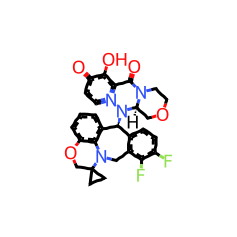 O=C1c2c(O)c(=O)ccn2N([C@H]2c3ccc(F)c(F)c3CN3c4c(cccc42)OCC32CC2)[C@@H]2COCCN12